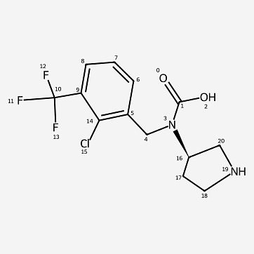 O=C(O)N(Cc1cccc(C(F)(F)F)c1Cl)[C@@H]1CCNC1